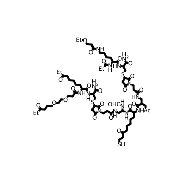 CCOCCC(=O)NCCCCC(NC(=O)CC)C(=O)NC(CSC1CC(=O)N(CCC(=O)NCC(CC(C)=O)C(=O)NC(CCCCCC(=O)CCS)C(=O)NC(CNC(=O)CCN2C(=O)CC(SCC(NC(=O)C(CCCCCC(=O)CC)NC(=O)CCOCCOCCCC(=O)CC)C(N)=O)C2=O)NC=O)C1=O)C(N)=O